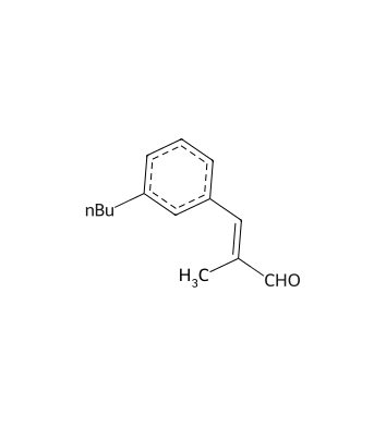 CCCCc1cccc(C=C(C)C=O)c1